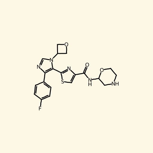 O=C(NC1CNCCO1)c1csc(-c2c(-c3ccc(F)cc3)ncn2C2COC2)n1